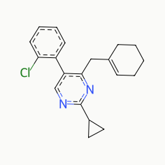 Clc1ccccc1-c1cnc(C2CC2)nc1CC1=CCCCC1